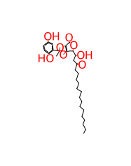 CCCCCCCCCCCCCCCC(=O)CC(O)C1OC(=O)C2=C1OC(C)(c1cc(O)ccc1O)O2